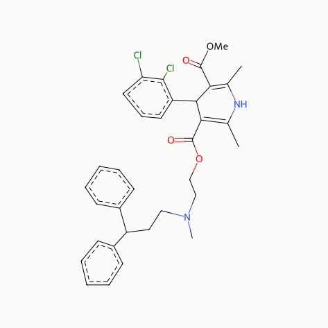 COC(=O)C1=C(C)NC(C)=C(C(=O)OCCN(C)CCC(c2ccccc2)c2ccccc2)C1c1cccc(Cl)c1Cl